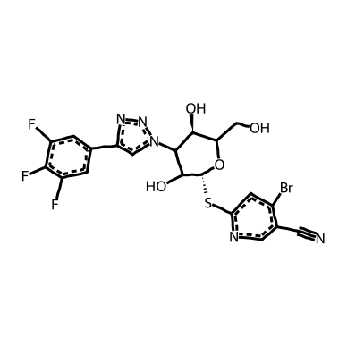 N#Cc1cnc(S[C@H]2OC(CO)[C@H](O)C(n3cc(-c4cc(F)c(F)c(F)c4)nn3)C2O)cc1Br